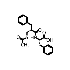 CC(=O)SC[C@@H](Cc1ccccc1)C(=O)N[C@@H](Cc1ccccc1)C(=O)O